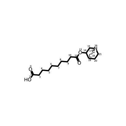 O=C(O)CCCCCCCCC(=O)OC1CN2CCC1CC2